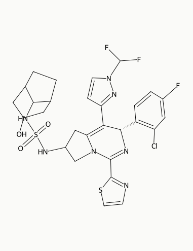 O=S(=O)(NC1CC2=C(c3ccn(C(F)F)n3)[C@H](c3ccc(F)cc3Cl)N=C(c3nccs3)N2C1)NC1C2CCC1CC(O)C2